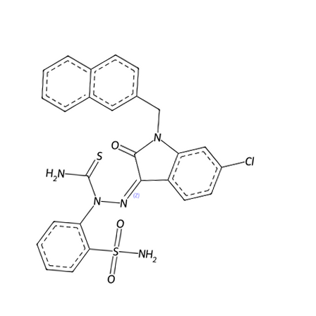 NC(=S)N(/N=C1\C(=O)N(Cc2ccc3ccccc3c2)c2cc(Cl)ccc21)c1ccccc1S(N)(=O)=O